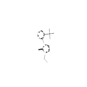 CCn1ccn(-c2oncc2C(C)(C)C)c1=O